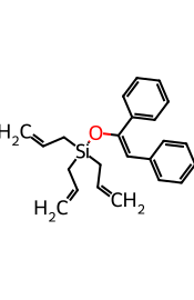 C=CC[Si](CC=C)(CC=C)O/C(=C/c1ccccc1)c1ccccc1